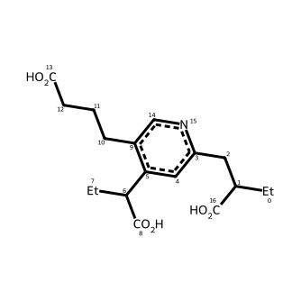 CCC(Cc1cc(C(CC)C(=O)O)c(CCCC(=O)O)cn1)C(=O)O